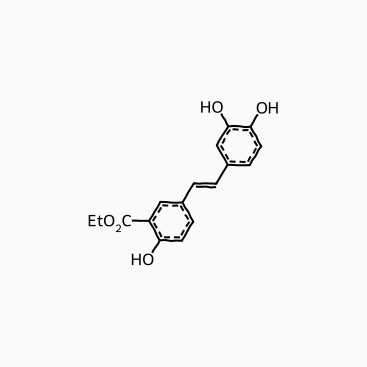 CCOC(=O)c1cc(/C=C/c2ccc(O)c(O)c2)ccc1O